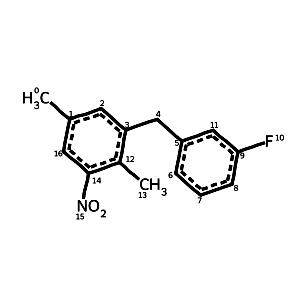 Cc1cc(Cc2cccc(F)c2)c(C)c([N+](=O)[O-])c1